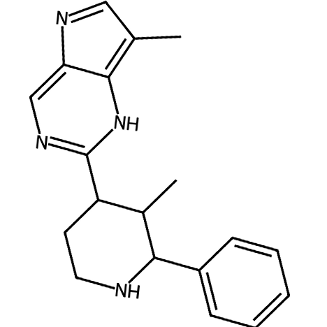 Cc1cnc2cnc(C3CCNC(c4ccccc4)C3C)[nH]c1-2